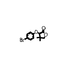 CC1(C)COC(=O)C1Oc1ccc(Br)cc1